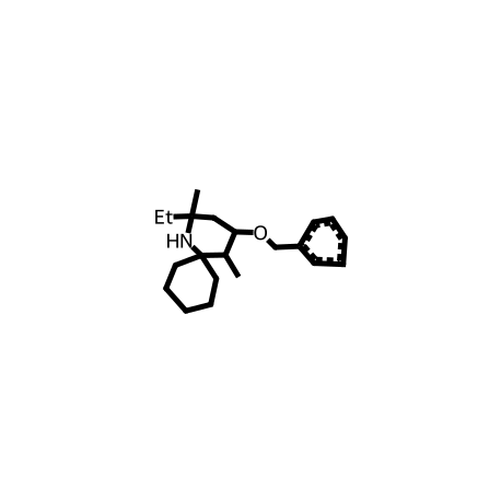 CCC1(C)CC(OCc2ccccc2)C(C)C2(CCCCC2)N1